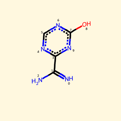 N=C(N)c1ncnc(O)n1